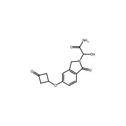 NC(=O)C(O)N1Cc2cc(OC3CC(=O)C3)ccc2C1=O